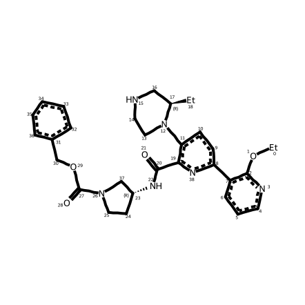 CCOc1ncccc1-c1ccc(N2CCNC[C@H]2CC)c(C(=O)N[C@@H]2CCN(C(=O)OCc3ccccc3)C2)n1